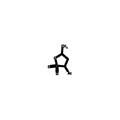 CC(=O)C1CC(C)OS1(=O)=O